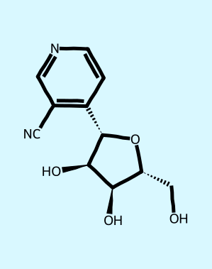 N#Cc1cnccc1[C@@H]1O[C@H](CO)[C@@H](O)[C@H]1O